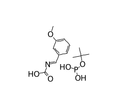 CC(C)(C)OP(O)O.COc1cccc(C=NC(=O)O)c1